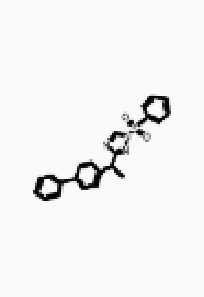 CC(c1ccc(-c2ccccc2)cc1)c1ncn(S(=O)(=O)c2ccccc2)n1